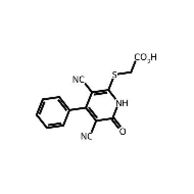 N#Cc1c(SCC(=O)O)[nH]c(=O)c(C#N)c1-c1ccccc1